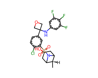 C[C@H]1C2C[C@H](O)CC1N2S(=O)(=O)c1cc(C2(Nc3cc(F)c(F)c(F)c3)COC2)ccc1Cl